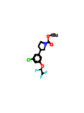 CC(C)(C)OC(=O)N1CCC(c2cc(Cl)cc(OC(F)C(F)F)c2)C1